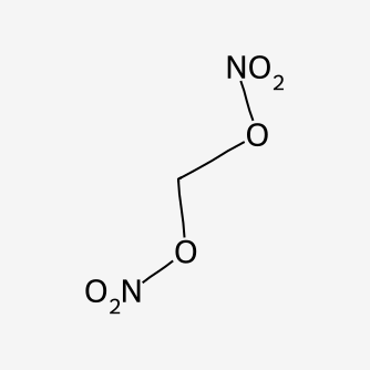 O=[N+]([O-])OCO[N+](=O)[O-]